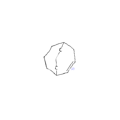 C1=C\C2CCCC(C/1)CCC2